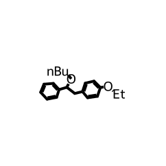 CCCCOC(Cc1ccc(OCC)cc1)c1ccccc1